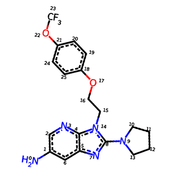 Nc1cnc2c(c1)nc(N1CCCC1)n2CCOc1ccc(OC(F)(F)F)cc1